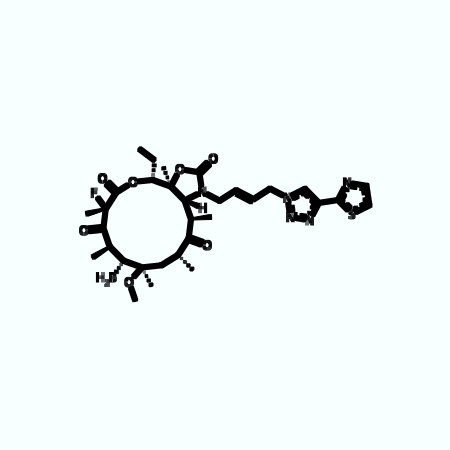 B[C@@H]1[C@@H](C)C(=O)[C@](C)(F)C(=O)O[C@H](CC)[C@@]2(C)OC(=O)N(C/C=C/Cn3cc(-c4nccs4)nn3)[C@@H]2[C@@H](C)C(=O)[C@H](C)C[C@@]1(C)OC